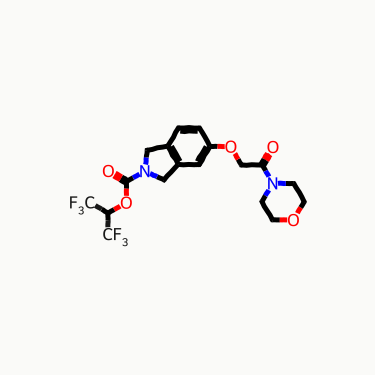 O=C(COc1ccc2c(c1)CN(C(=O)OC(C(F)(F)F)C(F)(F)F)C2)N1CCOCC1